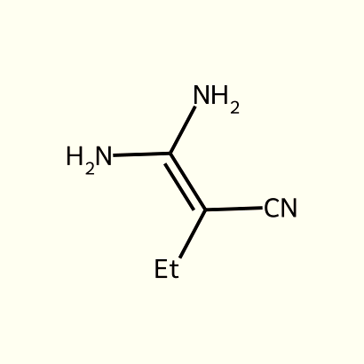 CCC(C#N)=C(N)N